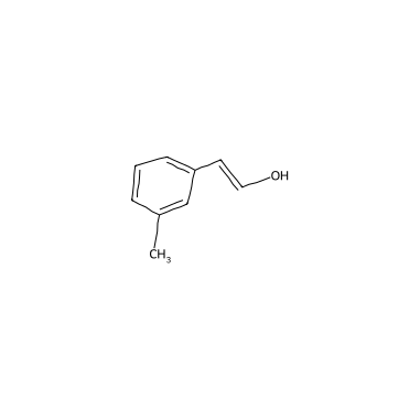 Cc1cccc(C=CO)c1